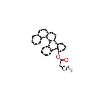 C=CC(=O)Oc1cccc2c3ccc4ccc5ccccc5c4c3c3ccccc3c12